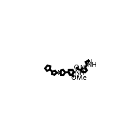 COc1cc(C2CCN(C3CCC(C4CCCC4)C3)CC2)ccc1NC(=O)c1cccc(-c2ccn[nH]2)n1